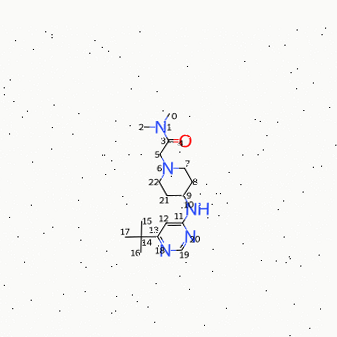 CN(C)C(=O)CN1CCC(Nc2cc(C(C)(C)C)ncn2)CC1